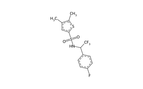 Cc1cc(S(=O)(=O)NC(c2ccc(F)cc2)C(F)(F)F)sc1C